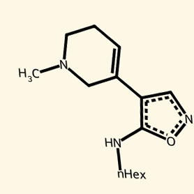 CCCCCCNc1oncc1C1=CCCN(C)C1